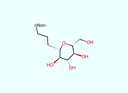 CCCCCCCCCCCC[C@@H]1O[C@H](CO)[C@@H](O)[C@H](O)[C@H]1O